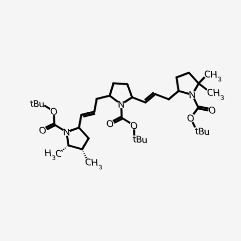 C[C@H]1CC(/C=C/CC2CCC(/C=C/CC3CCC(C)(C)N3C(=O)OC(C)(C)C)N2C(=O)OC(C)(C)C)N(C(=O)OC(C)(C)C)[C@H]1C